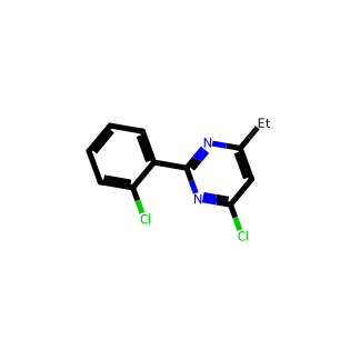 CCc1cc(Cl)nc(-c2ccccc2Cl)n1